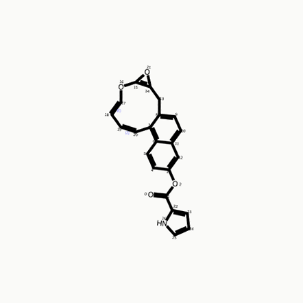 O=C(Oc1ccc2c3c(ccc2c1)CC1=C(O/C=C/C=C\3)O1)c1ccc[nH]1